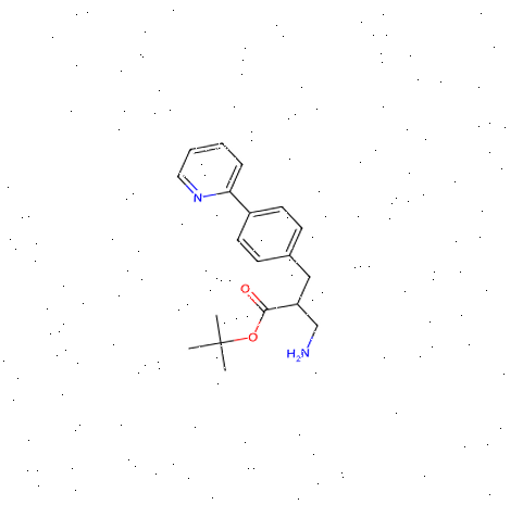 CC(C)(C)OC(=O)C(CN)Cc1ccc(-c2ccccn2)cc1